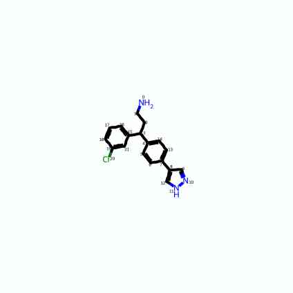 NCCC(c1ccc(-c2cn[nH]c2)cc1)c1cccc(Cl)c1